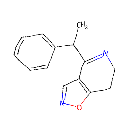 CC(C1=NCCc2oncc21)c1ccccc1